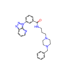 O=C(NCCCN1CCN(Cc2ccccc2)CC1)c1cccc(-n2nnc3cccnc32)c1